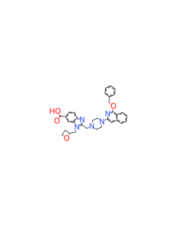 O=C(O)c1ccc2nc(CN3CCN(c4cc5ccccc5c(OCc5ccccc5)n4)CC3)n(CC3CCO3)c2c1